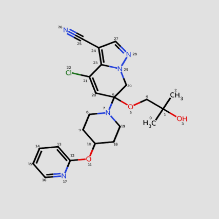 CC(C)(O)COC1(N2CCC(Oc3ccccn3)CC2)C=C(Cl)c2c(C#N)cnn2C1